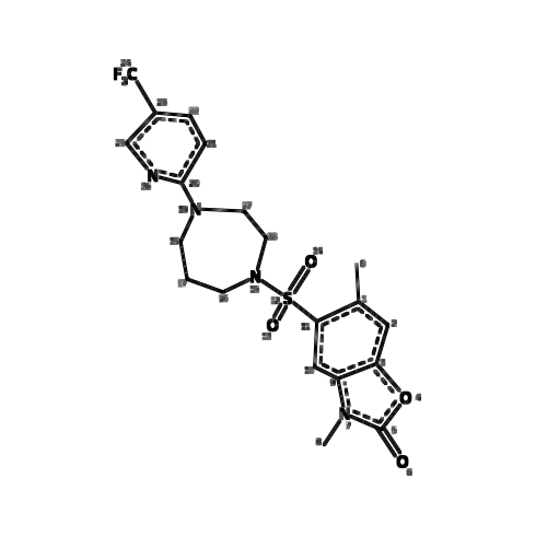 Cc1cc2oc(=O)n(C)c2cc1S(=O)(=O)N1CCCN(c2ccc(C(F)(F)F)cn2)CC1